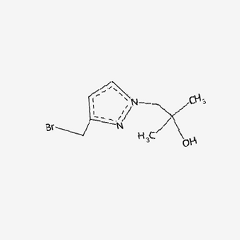 CC(C)(O)Cn1ccc(CBr)n1